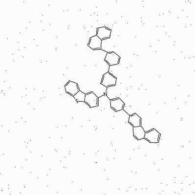 c1cc(-c2ccc(N(c3ccc(-c4ccc5c(ccc6ccccc65)c4)cc3)c3ccc4sc5ccccc5c4c3)cc2)cc(-c2cccc3ccccc23)c1